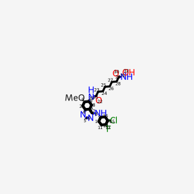 COc1cc2ncnc(Nc3ccc(F)c(Cl)c3)c2cc1NC(=O)CCCCCCC(=O)NO